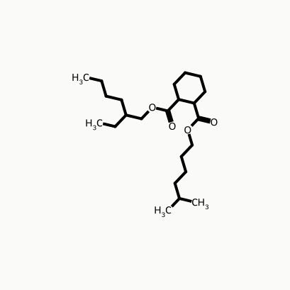 CCCCC(CC)COC(=O)C1CCCCC1C(=O)OCCCCC(C)C